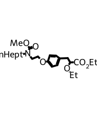 CCCCCCCN(CCOc1ccc(CC(OCC)C(=O)OCC)cc1)C(=O)OC